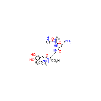 C[C@H](NC(=O)[C@@H]1CCCN1)C(=O)N[C@@H](CCCCN)C(=O)NCCCC[C@H](NC(=O)[C@@H]1Cc2cc(O)c(O)cc2C(C)(C)N1)C(=O)O